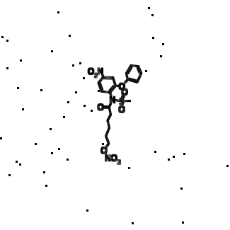 CS(=O)(=O)N(C(=O)CCCCCO[N+](=O)[O-])c1ccc([N+](=O)[O-])cc1Oc1ccccc1